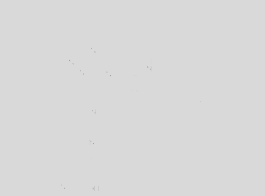 Cc1c(N2CCN(C(=O)c3cccnc3O)CC2)c(=O)n2nc(C3=CCOCC3)nc2n1CC(=O)Nc1ccc(C(F)(F)F)cc1